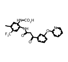 Cc1cc(NC(=O)O)c(NC(=O)CC(=O)c2cccc(Oc3ccccn3)c2)cc1C(F)(F)F